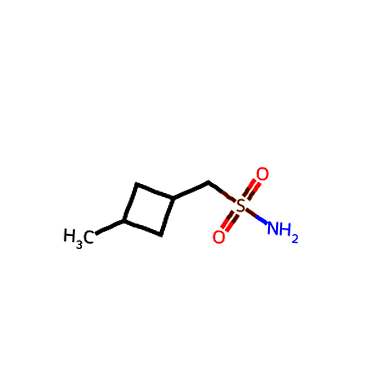 CC1CC(CS(N)(=O)=O)C1